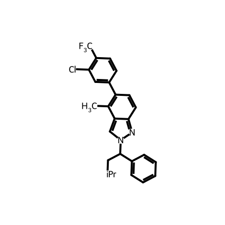 Cc1c(-c2ccc(C(F)(F)F)c(Cl)c2)ccc2nn(C(CC(C)C)c3ccccc3)cc12